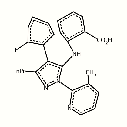 CCCc1nn(-c2ncccc2C)c(Nc2ccccc2C(=O)O)c1-c1ccccc1F